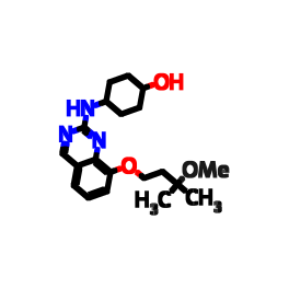 COC(C)(C)CCOc1cccc2cnc(NC3CCC(O)CC3)nc12